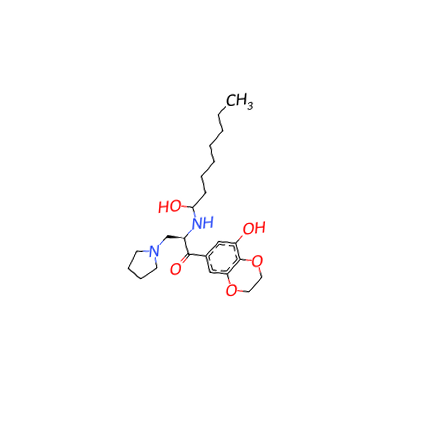 CCCCCCCC(O)N[C@H](CN1CCCC1)C(=O)c1cc(O)c2c(c1)OCCO2